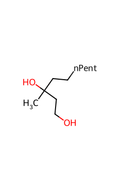 CCCCCCCC(C)(O)CCO